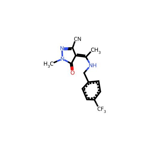 CC(NCc1ccc(C(F)(F)F)cc1)=C1C(=O)N(C)N=C1C#N